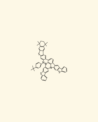 CC(C)(C)c1ccc(N2B3c4cc5sc6ccccc6c5cc4-n4c5cc6sc7ccccc7c6cc5c5ccc(c3c54)-c3cc4c(cc32)sc2cc3c(cc24)C(C)(C)CCC3(C)C)cc1